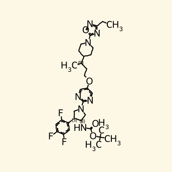 CCc1noc(N2CCC([C@H](C)CCOc3cnc(N4C[C@H](NC(=O)OC(C)(C)C)[C@@H](c5cc(F)c(F)cc5F)C4)nc3)CC2)n1